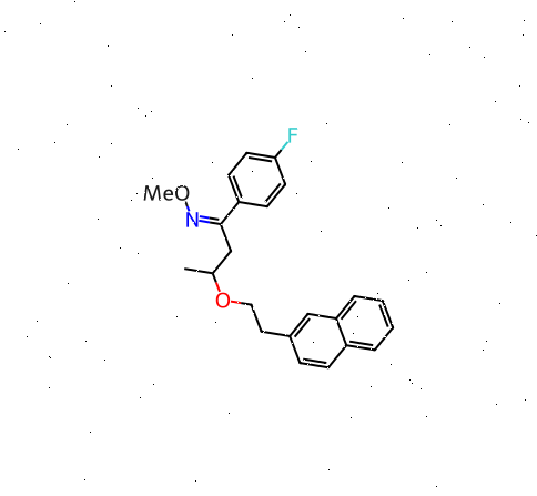 CON=C(CC(C)OCCc1ccc2ccccc2c1)c1ccc(F)cc1